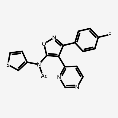 CC(=O)N(c1ccsc1)c1onc(-c2ccc(F)cc2)c1-c1ccncn1